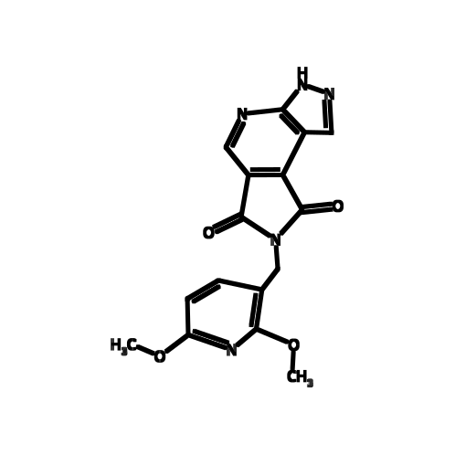 COc1ccc(CN2C(=O)c3cnc4[nH]ncc4c3C2=O)c(OC)n1